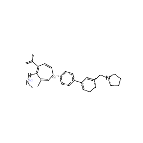 C=C(C)C1=C(/N=N\C)C(C)=C[C@@H](c2ccc(C3=CCCC(CN4CCCC4)=C3)cc2)C=C1